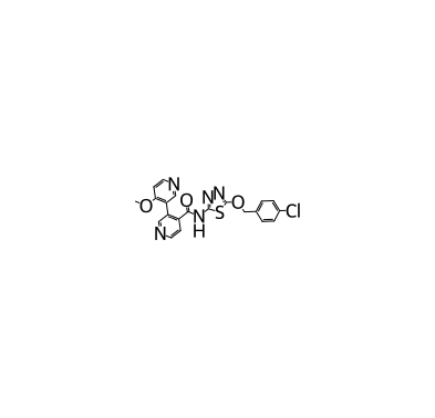 COc1ccncc1-c1cnccc1C(=O)Nc1nnc(OCc2ccc(Cl)cc2)s1